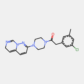 Cc1cc(Cl)cc(CC(=O)N2CCN(C3=NN4C=NCC=C4C=C3)CC2)c1